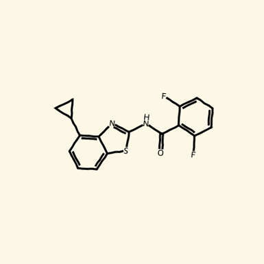 O=C(Nc1nc2c(C3CC3)cccc2s1)c1c(F)cccc1F